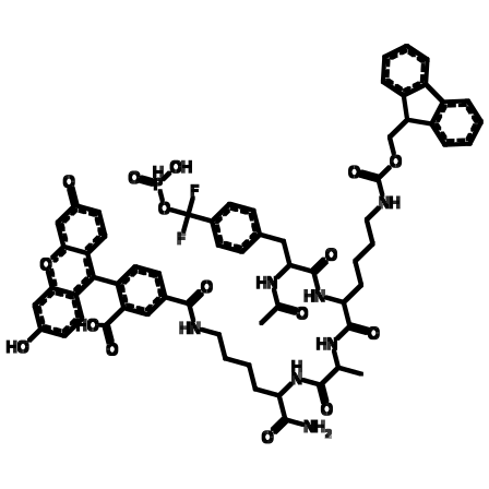 CC(=O)NC(Cc1ccc(C(F)(F)O[PH](=O)O)cc1)C(=O)NC(CCCCNC(=O)OCC1c2ccccc2-c2ccccc21)C(=O)NC(C)C(=O)NC(CCCCNC(=O)c1ccc(-c2c3ccc(=O)cc-3oc3cc(O)ccc23)c(C(=O)O)c1)C(N)=O